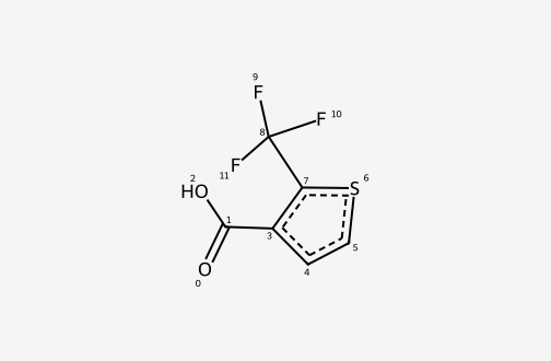 O=C(O)c1ccsc1C(F)(F)F